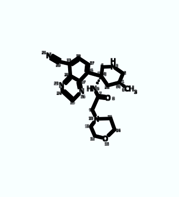 C[C@@H]1CNC[C@](NC(=O)CN2CCOCC2)(c2ccc(C#N)c3nccnc23)C1